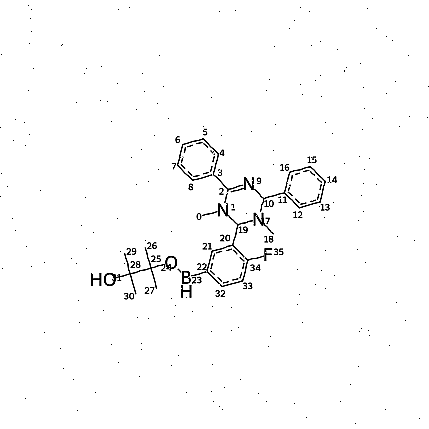 CN1C(c2ccccc2)=NC(c2ccccc2)N(C)C1c1cc(BOC(C)(C)C(C)(C)O)ccc1F